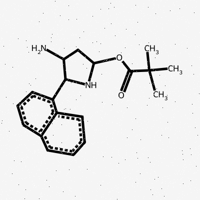 CC(C)(C)C(=O)OC1CC(N)C(c2cccc3ccccc23)N1